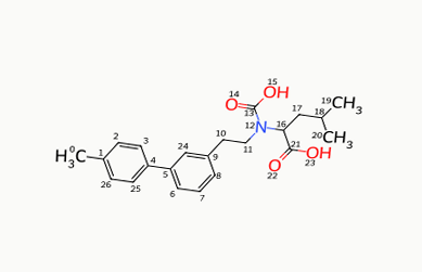 Cc1ccc(-c2cccc(CCN(C(=O)O)C(CC(C)C)C(=O)O)c2)cc1